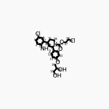 Nc1ccc(Cl)cc1C1=CC(c2ccc(OCC(O)CO)cc2)N(C(=O)OCCCl)CC1